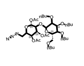 CCCCOC[C@@H]1OC(OC2[C@@H](OC(C)=O)OC(CN=[N+]=[N-])[C@H](OC(C)=O)[C@@H]2OC(C)=O)C(OCCCC)[C@@H](OCCCC)C1OCCCC